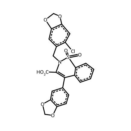 O=C(O)C1=C(c2ccc3c(c2)OCO3)c2ccccc2S(=O)(=O)N1Cc1cc2c(cc1Cl)OCO2